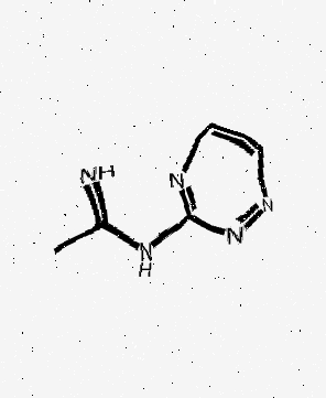 CC(=N)Nc1nccnn1